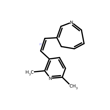 Cc1ccc(/C=C\C2=CN=CC=CC2)c(C)n1